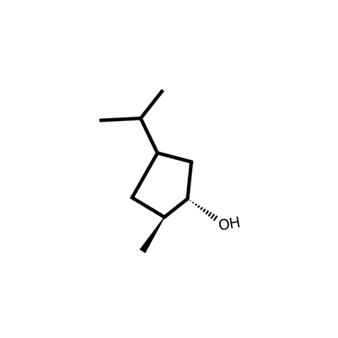 CC(C)C1C[C@H](C)[C@@H](O)C1